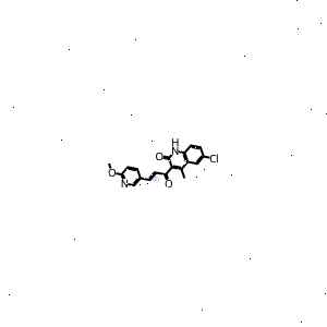 COc1ccc(/C=C/C(=O)c2c(C)c3cc(Cl)ccc3[nH]c2=O)cn1